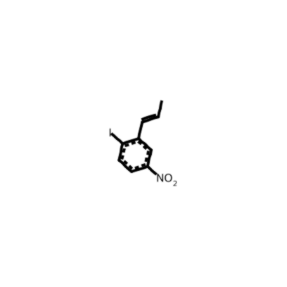 CC=Cc1cc([N+](=O)[O-])ccc1I